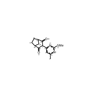 CSc1nc(C)cc(C2C(=O)C3CCC(C3)C2=O)n1